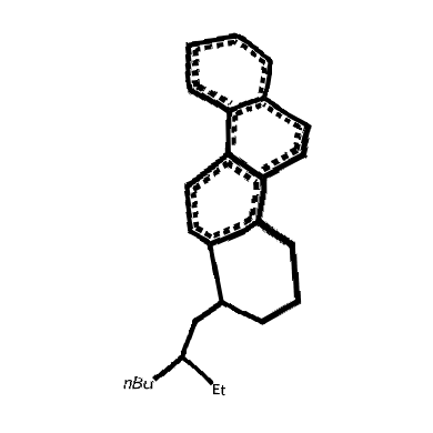 CCCCC(CC)CC1CCCc2c1ccc1c2ccc2ccccc21